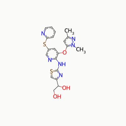 Cc1cc(Oc2cc(Sc3ccccn3)cnc2Nc2nc(C(O)CO)cs2)n(C)n1